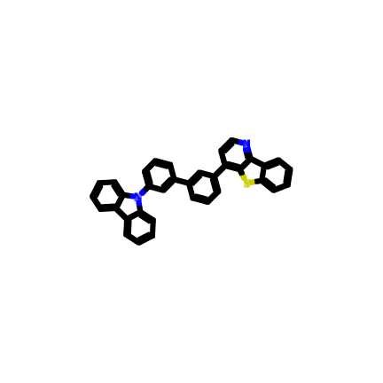 c1cc(-c2cccc(-n3c4ccccc4c4ccccc43)c2)cc(-c2ccnc3c2sc2ccccc23)c1